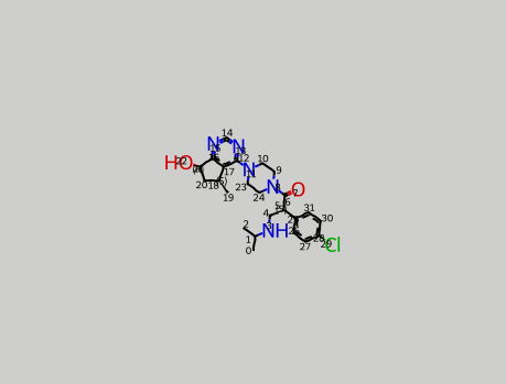 CC(C)NC[C@@H](C(=O)N1CCN(c2ncnc3c2[C@@H](C)C[C@H]3O)CC1)c1ccc(Cl)cc1